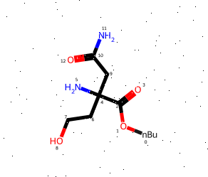 CCCCOC(=O)C(N)(CCO)CC(N)=O